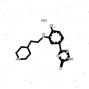 Cl.O=c1[nH]nc(-c2ccc(C(F)(F)F)c(NCCC3CCNCC3)c2)o1